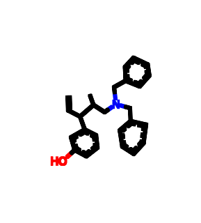 C=CC(c1cccc(O)c1)C(C)CN(Cc1ccccc1)Cc1ccccc1